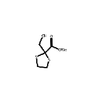 COC(=O)C1(CC#N)SCCS1